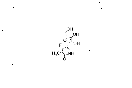 Cc1c(F)c([C@@H]2O[C@H](CO)C(O)[C@@H]2O)c[nH]c1=O